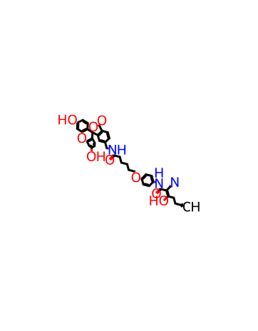 C#CCC/C(O)=C(\C#N)C(=O)Nc1ccc(OCCCCCC(=O)NCc2ccc3c(c2)C2(OC3=O)c3ccc(O)cc3Oc3cc(O)ccc32)cc1